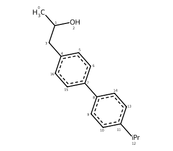 CC(O)Cc1ccc(-c2ccc(C(C)C)cc2)cc1